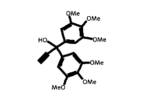 C#CC(O)(c1cc(OC)c(OC)c(OC)c1)c1cc(OC)c(OC)c(OC)c1